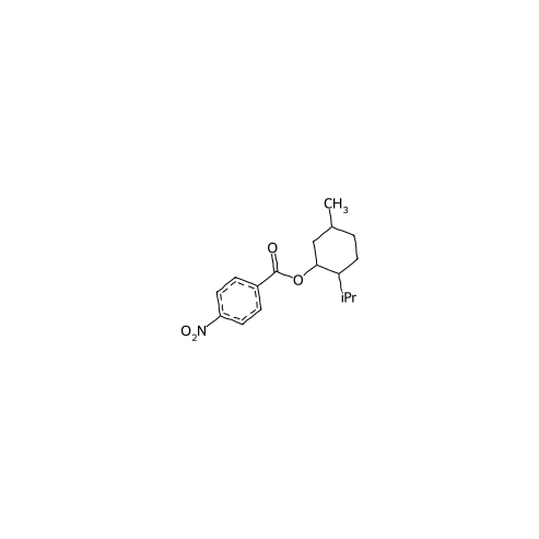 CC1CCC(C(C)C)C(OC(=O)c2ccc([N+](=O)[O-])cc2)C1